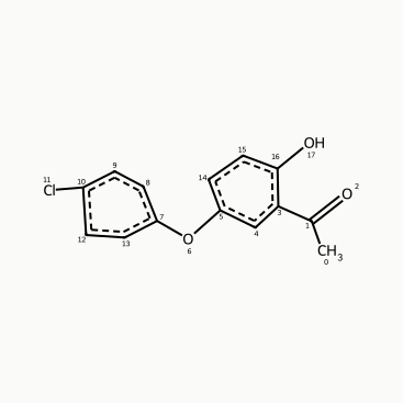 CC(=O)c1cc(Oc2ccc(Cl)cc2)ccc1O